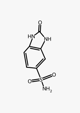 NS(=O)(=O)c1ccc2[nH]c(=O)[nH]c2c1